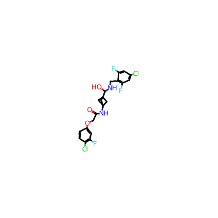 O=C(COc1ccc(Cl)c(F)c1)NC12CC(C(O)NCc3c(F)cc(Cl)cc3F)(C1)C2